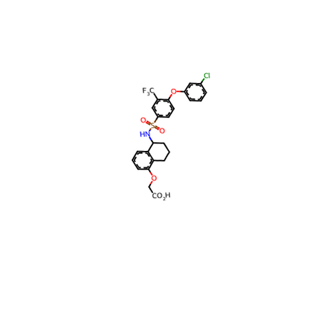 O=C(O)COc1cccc2c1CCCC2NS(=O)(=O)c1ccc(Oc2cccc(Cl)c2)c(C(F)(F)F)c1